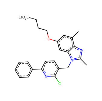 CCOC(=O)CCCOc1cc(C)c2nc(C)n(Cc3ccc(-c4ccccc4)nc3Cl)c2c1